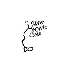 CO[Si](OC)(OC)C(=O)CCCC1CO1